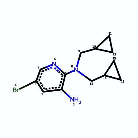 Nc1cc(Br)cnc1N(CC1CC1)CC1CC1